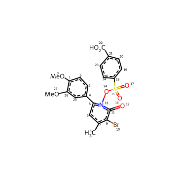 COc1ccc(-c2cc(C)c(Br)c(=O)n2OS(=O)(=O)c2ccc(C(=O)O)cc2)cc1OC